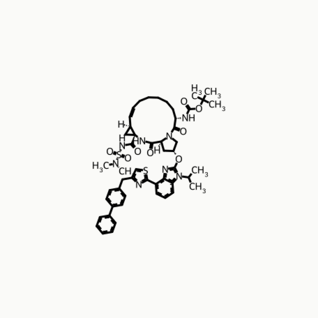 CC(C)n1c(O[C@@H]2C[C@H]3C(=O)N[C@]4(C(=O)NS(=O)(=O)N(C)C)C[C@H]4/C=C\CCCCC[C@H](NC(=O)OC(C)(C)C)C(=O)N3C2)nc2c(-c3nc(Cc4ccc(-c5ccccc5)cc4)cs3)cccc21